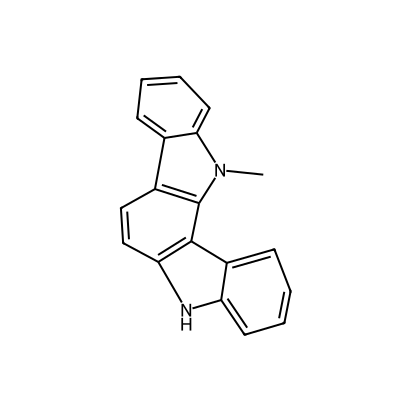 Cn1c2ccccc2c2ccc3[nH]c4ccccc4c3c21